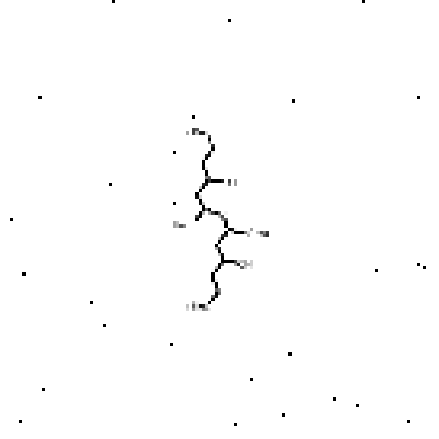 CCCCCCCCCCCCC(O)CC(CCCCC)OC(CCCCC)CC(O)CCCCCCCCCCCC